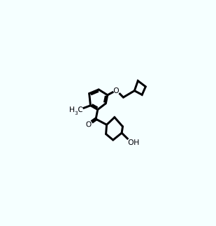 Cc1ccc(OCC2CCC2)cc1C(=O)C1CCC(O)CC1